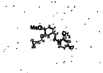 COc1ccc(/C=C/n2ccc(=O)cc2C)cc1OCC1CC1